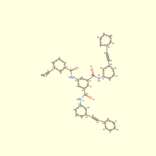 C#Cc1cccc(C(=O)Nc2cc(C(=O)Nc3cccc(C#Cc4ccccc4)c3)cc(C(=O)Nc3cccc(C#Cc4ccccc4)c3)c2)c1